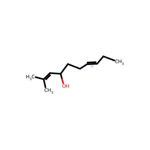 CC/C=C/CCC(O)C=C(C)C